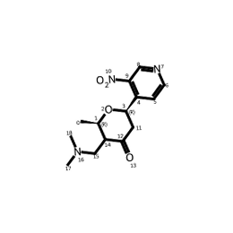 C[C@H]1O[C@@H](c2ccncc2[N+](=O)[O-])CC(=O)C1CN(C)C